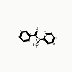 O=C(c1ccccc1)N(O)c1ccccn1